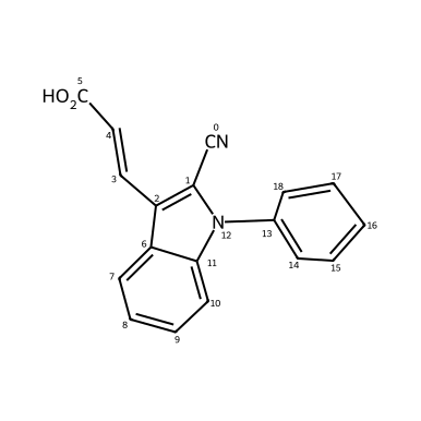 N#Cc1c(C=CC(=O)O)c2ccccc2n1-c1ccccc1